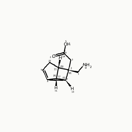 NC[C@@]1(CC(=O)O)[C@@H]2C3=CC[C@H]1[C@@H]32